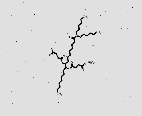 CCCCCCCCC(OC(=O)CCC(=O)[O-])C(CCCCCCCC(=O)N(CCCCCC)CCCCCC)OC(=O)CCC(=O)[O-].[Na+].[Na+]